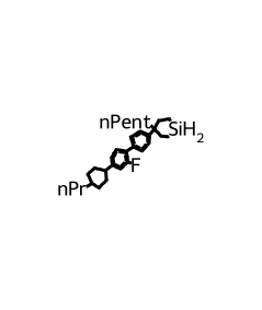 CCCCCC1(c2ccc(-c3ccc(C4CCC(CCC)CC4)cc3F)cc2)CC[SiH2]CC1